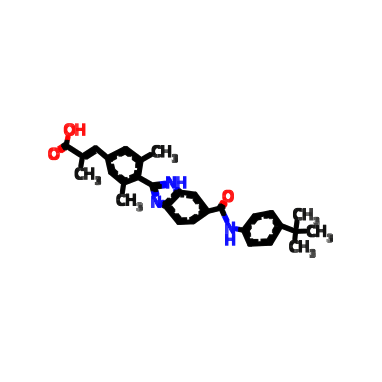 C/C(=C\c1cc(C)c(-c2nc3ccc(C(=O)Nc4ccc(C(C)(C)C)cc4)cc3[nH]2)c(C)c1)C(=O)O